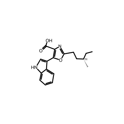 CC[C@H](C)CCc1nc(C(=O)O)c(-c2c[nH]c3ccccc23)o1